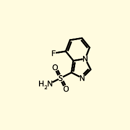 NS(=O)(=O)c1ncn2cccc(F)c12